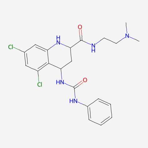 CN(C)CCNC(=O)C1CC(NC(=O)Nc2ccccc2)c2c(Cl)cc(Cl)cc2N1